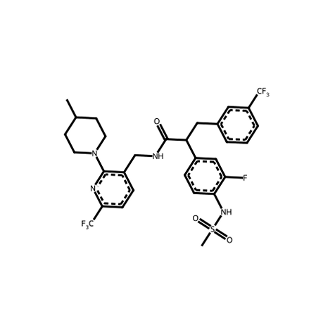 CC1CCN(c2nc(C(F)(F)F)ccc2CNC(=O)C(Cc2cccc(C(F)(F)F)c2)c2ccc(NS(C)(=O)=O)c(F)c2)CC1